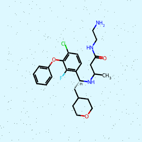 CC(CC(=O)NCCN)N[C@H](CC1CCOCC1)c1ccc(Cl)c(Oc2ccccc2)c1F